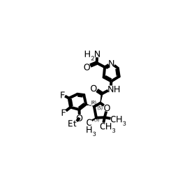 CCOc1c([C@@H]2[C@@H](C(=O)Nc3ccnc(C(N)=O)c3)OC(C)(C)[C@H]2C)ccc(F)c1F